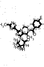 [2H]C1([2H])C(=O)N(c2nc(-c3nc(C)ns3)n3c2[C@@H](C)N(C(=O)c2ccc(F)cc2)CC3)C([2H])([2H])C1([2H])[2H]